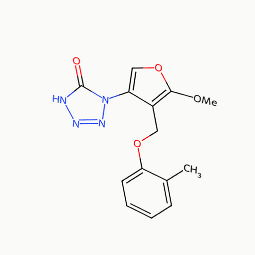 COc1occ(-n2nn[nH]c2=O)c1COc1ccccc1C